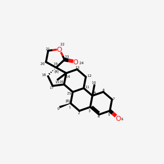 C[C@@H]1CC2=CC(=O)CCC2(C)C2CCC3(C)C(CC[C@@]34CCOC4=O)C21